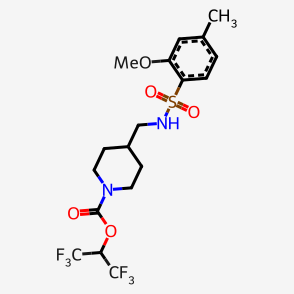 COc1cc(C)ccc1S(=O)(=O)NCC1CCN(C(=O)OC(C(F)(F)F)C(F)(F)F)CC1